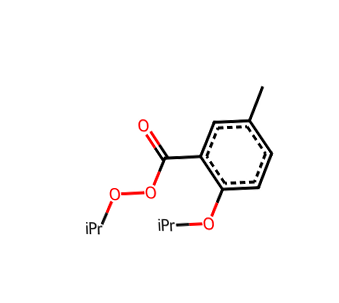 Cc1ccc(OC(C)C)c(C(=O)OOC(C)C)c1